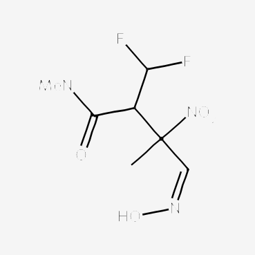 CNC(=O)C(C(F)F)C(C)(/C=N\O)[N+](=O)[O-]